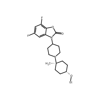 CCO[C@H]1CC[C@](C)(N2CCC(n3c(=O)oc4c(F)cc(F)cc43)CC2)CC1